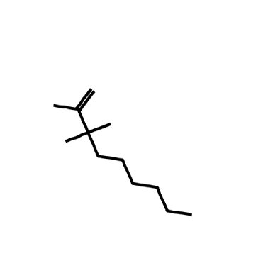 C=C(C)C(C)(C)CCCCCC